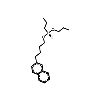 CCCOP(=O)(CCC)OCCCCc1ccc2ccccc2c1